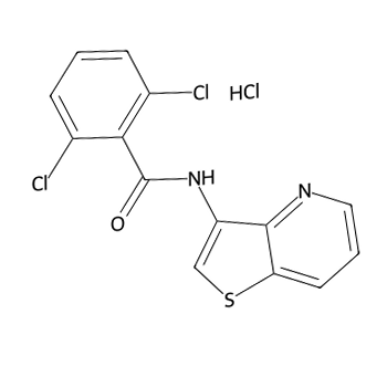 Cl.O=C(Nc1csc2cccnc12)c1c(Cl)cccc1Cl